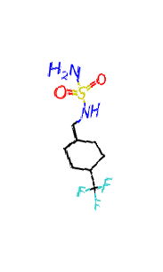 NS(=O)(=O)NCC1CCC(C(F)(F)F)CC1